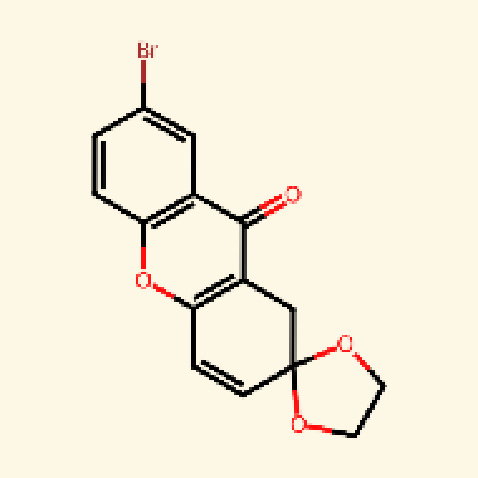 O=c1c2c(oc3ccc(Br)cc13)C=CC1(C2)OCCO1